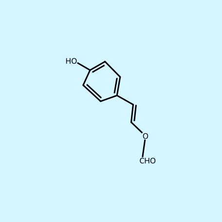 O=COC=Cc1ccc(O)cc1